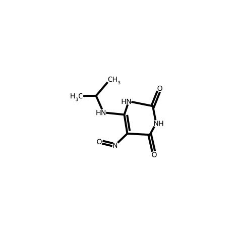 CC(C)Nc1[nH]c(=O)[nH]c(=O)c1N=O